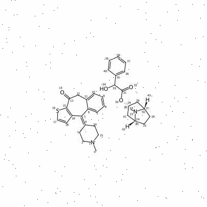 CN1CCC(=C2c3ccccc3CC(=O)c3sccc32)CC1.CN1[C@@H]2CC[C@H]1C[C@@H](OC(=O)C(O)c1ccccc1)C2